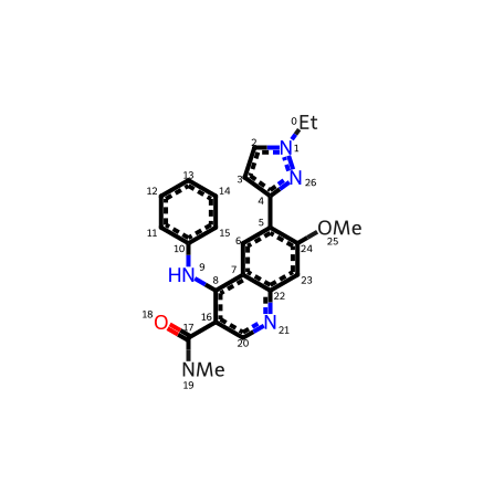 CCn1ccc(-c2cc3c(Nc4ccccc4)c(C(=O)NC)cnc3cc2OC)n1